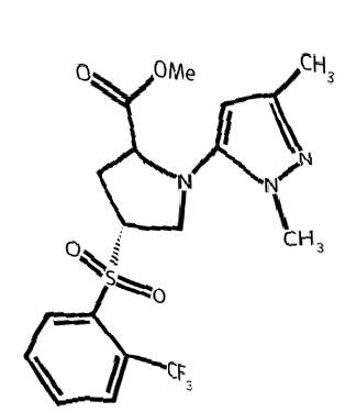 COC(=O)C1C[C@@H](S(=O)(=O)c2ccccc2C(F)(F)F)CN1c1cc(C)nn1C